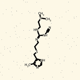 Cc1nc[nH]c1CSCC/N=C(\NC#N)NCCN(C)C